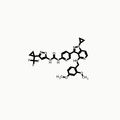 COc1ccc(CNc2nccc3c2c(-c2ccc(NC(=O)Nc4cc(C5(C(F)(F)F)CC5)no4)nc2)nn3C2CC2)c(OC)c1